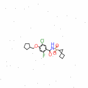 O=C(NS(=O)(=O)C1CC12CCC2)c1cc(Cl)c(OCC2CCCC2)cc1F